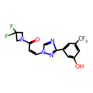 O=C(/C=C\n1cnc(-c2cc(O)cc(C(F)(F)F)c2)n1)N1CC(F)(F)C1